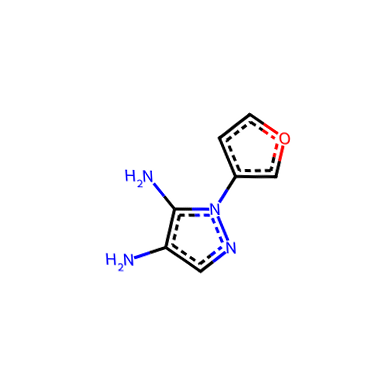 Nc1cnn(-c2ccoc2)c1N